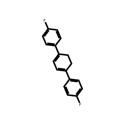 Fc1ccc(C2=CC=C(c3ccc(F)cc3)CC2)cc1